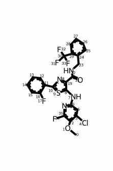 COc1c(Cl)cc(Nc2sc(-c3ccccc3F)nc2C(=O)NCc2ccccc2C(F)(F)F)nc1F